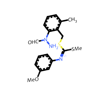 COc1cccc(/N=C(/SC)SCc2c(C)cccc2N(N)C=O)c1